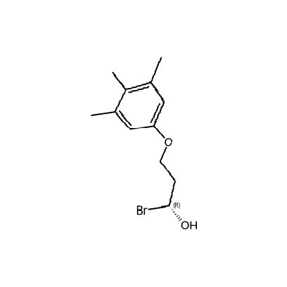 Cc1cc(OCC[C@H](O)Br)cc(C)c1C